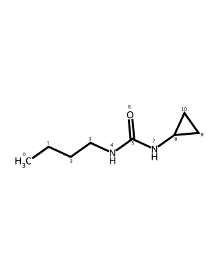 CCCCNC(=O)NC1CC1